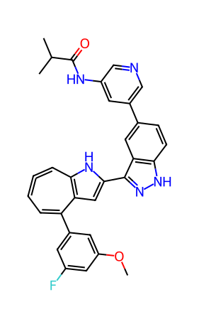 COc1cc(F)cc(C2=CC=C=Cc3[nH]c(-c4n[nH]c5ccc(-c6cncc(NC(=O)C(C)C)c6)cc45)cc32)c1